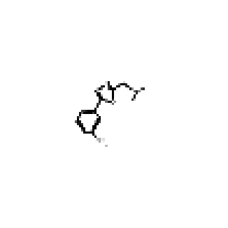 CCN(CC)Cc1ncc(-c2cccc([N+](=O)[O-])c2)o1